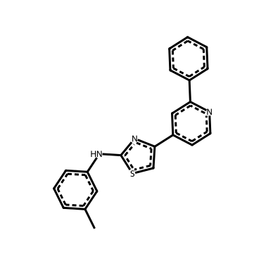 Cc1cccc(Nc2nc(-c3ccnc(-c4ccccc4)c3)cs2)c1